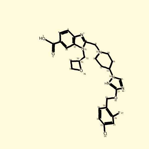 O=C(O)c1ccc2nc(CN3CCC(n4cnc(OCc5ccc(Cl)cc5F)n4)CC3)n(C[C@@H]3CCO3)c2c1